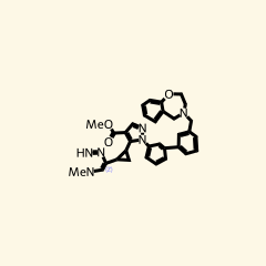 CN/C=C(\N=N)C1CC1c1c(C(=O)OC)cnn1-c1cccc(-c2cccc(CN3CCOc4ccccc4C3)c2)c1